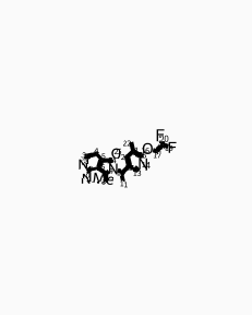 CNc1nccc2c1C(C)N(C(C)c1cnc(OCC(F)F)c(C)c1)C2=O